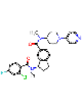 CC(C)N(C(=O)c1ccc(F)cc1Cl)[C@@H]1CCc2ccc(C(=O)N(C)C3CCN(c4ccncc4)CC3)cc21